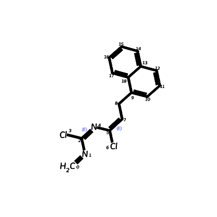 C=N/C(Cl)=N\C(Cl)=C/Cc1cccc2ccccc12